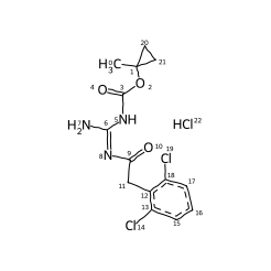 CC1(OC(=O)NC(N)=NC(=O)Cc2c(Cl)cccc2Cl)CC1.Cl